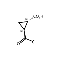 O=C(O)[C@H]1C[C@@H]1C(=O)Cl